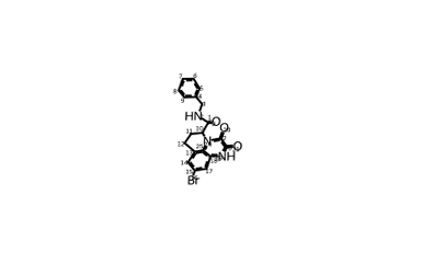 O=C(NCc1ccccc1)C1CCc2cc(Br)cc3[nH]c(=O)c(=O)n1c23